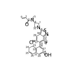 C=CC(=O)N(C)C1CN(c2snc3c(F)c(-c4cc(O)cc5c4CCC=C5)c(Cl)cc23)C1